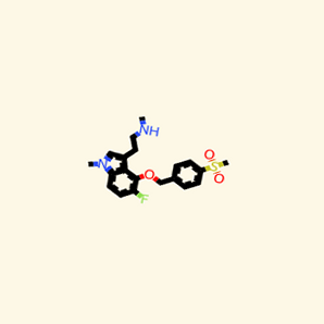 CNCCc1cn(C)c2ccc(F)c(OCc3ccc(S(C)(=O)=O)cc3)c12